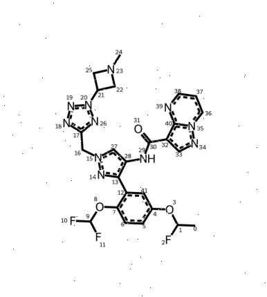 CC(F)Oc1ccc(OC(F)F)c(-c2nn(Cc3nnn(C4CN(C)C4)n3)cc2NC(=O)c2cnn3cccnc23)c1